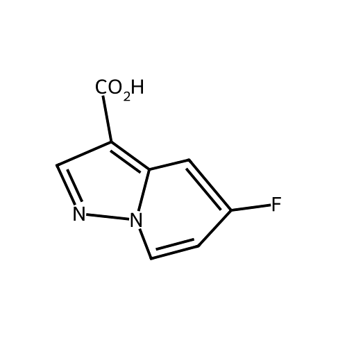 O=C(O)c1cnn2ccc(F)cc12